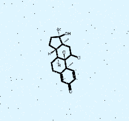 CC(=O)[C@@]1(O)CC[C@H]2[C@@H]3CCC4=CC(=O)C=C[C@]4(C)[C@@]3(Cl)C(Cl)C[C@@]21C